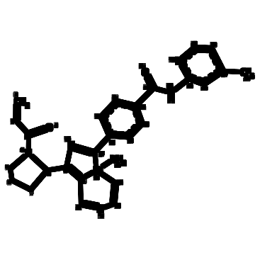 C=CC(=O)N1CCCC1C1=C2C=NC=C[N+]2(N)C(c2ccc(C(=O)Nc3cc(C(F)(F)F)ccn3)cc2)=N1